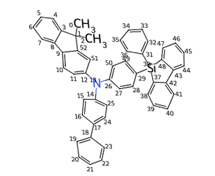 CC1(C)c2ccccc2-c2ccc(N(c3ccc(-c4ccccc4)cc3)c3ccc([Si]4(c5ccccc5)c5ccccc5-c5ccccc54)cc3)cc21